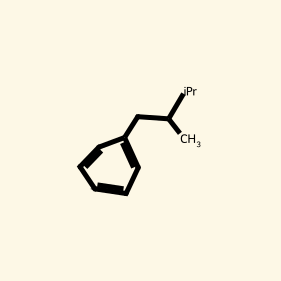 CC(C)C(C)Cc1cc[c]cc1